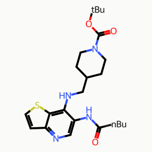 CCCCC(=O)Nc1cnc2ccsc2c1NCC1CCN(C(=O)OC(C)(C)C)CC1